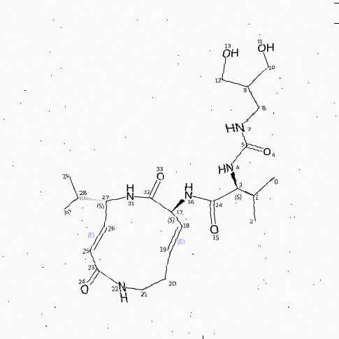 CC(C)[C@H](NC(=O)NCC(CO)CO)C(=O)N[C@H]1/C=C/CCNC(=O)/C=C/[C@H](C(C)C)NC1=O